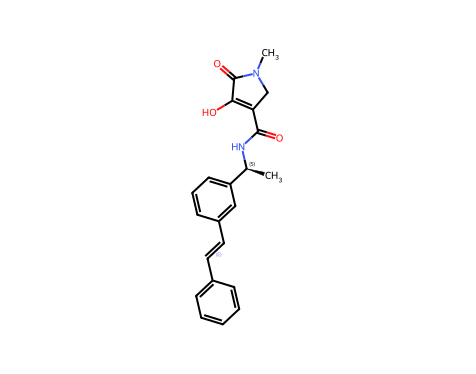 C[C@H](NC(=O)C1=C(O)C(=O)N(C)C1)c1cccc(/C=C/c2ccccc2)c1